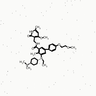 CCN(c1cc(-c2ccc(OCCOC)cc2)cc(C(=O)NCc2c(OC)cc(C)[nH]c2=O)c1C)[C@H]1CC[C@H](N(C)C)CC1